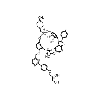 Cc1c2ccc(c1Cl)O[C@H](CN1CCN(C)CC1)COc1ccc(OCc3ccnc(-c4ccc(OC[C@H](O)CO)cc4)n3)c(c1)C[C@H](C(=O)O)Oc1ncnc3sc(-c4ccc(F)cc4)c-2c13